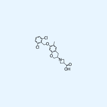 Cc1cc2c(cc1OCc1c(Cl)cccc1Cl)OCC(N1CC(C(=O)O)C1)C2